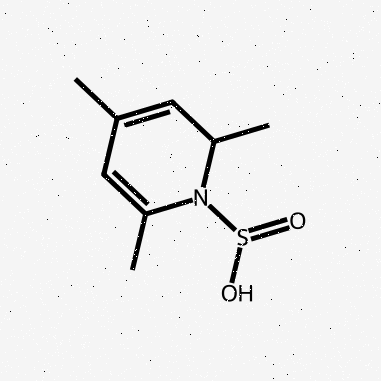 CC1=CC(C)N(S(=O)O)C(C)=C1